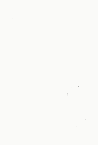 CCCCCCCCCCCCCCCCOC(=O)CCSCCCC(=N)Nc1ccc(OCCCCCCCCC)cc1